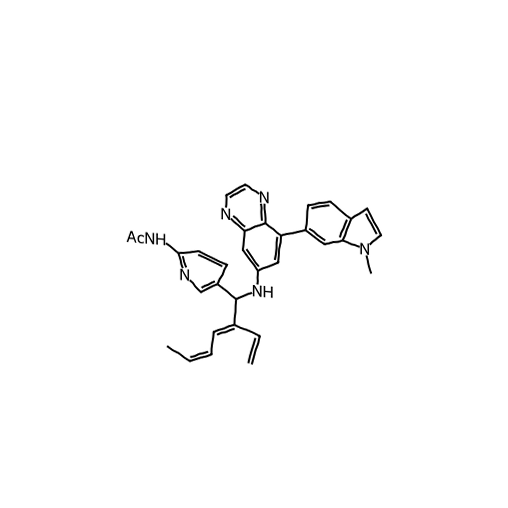 C=C/C(=C\C=C/C)C(Nc1cc(-c2ccc3ccn(C)c3c2)c2nccnc2c1)c1ccc(NC(C)=O)nc1